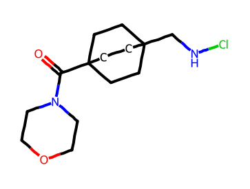 O=C(N1CCOCC1)C12CCC(CNCl)(CC1)CC2